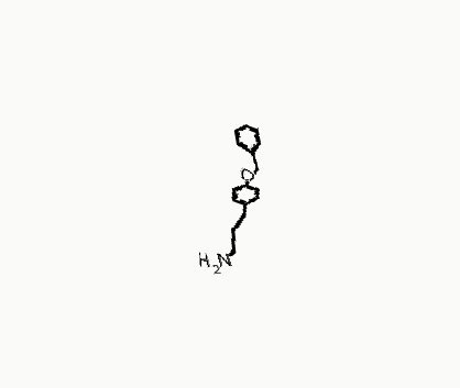 NCCCc1ccc(OCc2ccccc2)cc1